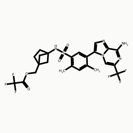 Cc1cc(C)c(S(=O)(=O)NC23CCC(COC(=O)C(F)(F)F)(C2)C3)cc1-c1cnc2c(N)nc(C(F)(F)F)cn12